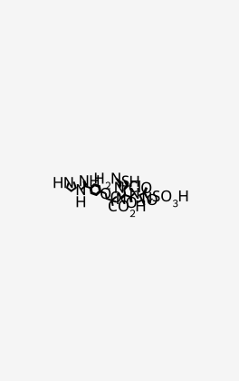 CC1(C)C(NC(=O)C(=NOC(COc2ccc(C(=N)NC3CCNC3)cc2)C(=O)O)c2nc(N)sc2Cl)C(=O)N1OS(=O)(=O)O